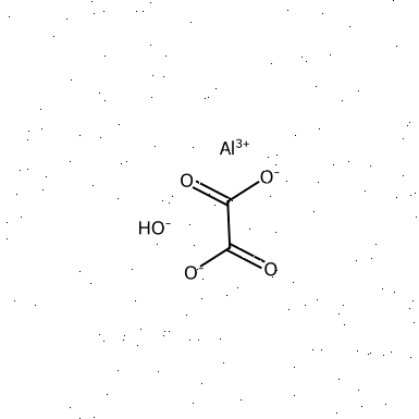 O=C([O-])C(=O)[O-].[Al+3].[OH-]